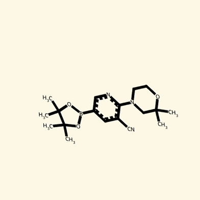 CC1(C)CN(c2ncc(B3OC(C)(C)C(C)(C)O3)cc2C#N)CCO1